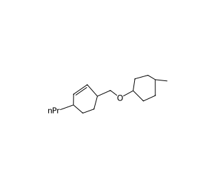 CCCC1C=CC(COC2CCC(C)CC2)CC1